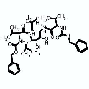 CC(C)C[C@H](NC(=O)[C@@H](NC(=O)OCc1ccccc1)C(C)C)[C@@H](O)[C@H](O)[C@H](CC(C)C)NC(=O)[C@@H](NC(=O)OCc1ccccc1)C(C)C